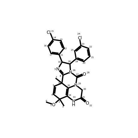 COC1(C)C=CC2(C)C3=NC(c4ccc(Cl)cc4)C(c4cccc(Cl)c4)N3C(=O)N3CC(=O)NC1=C32